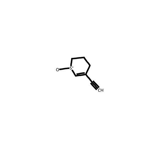 C#CC1=C[S+]([O-])CCC1